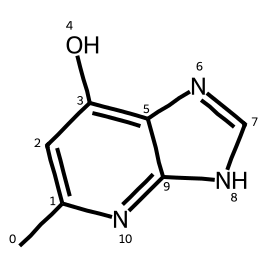 Cc1cc(O)c2nc[nH]c2n1